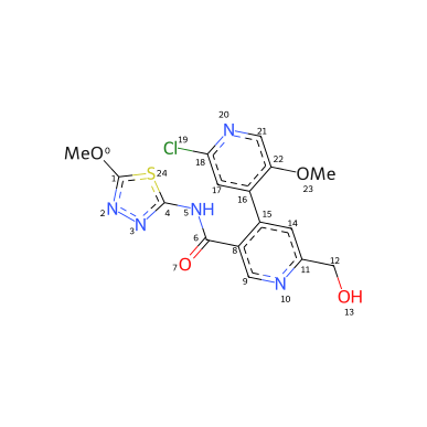 COc1nnc(NC(=O)c2cnc(CO)cc2-c2cc(Cl)ncc2OC)s1